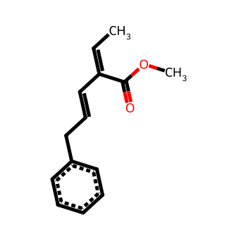 CC=C(C=CCc1ccccc1)C(=O)OC